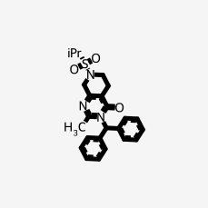 Cc1nc2c(c(=O)n1C(c1ccccc1)c1ccccc1)CCN(S(=O)(=O)C(C)C)C2